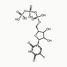 O=c1[nH]c(=O)n([C@H]2O[C@@H](COP(=O)(O)OP(=O)(O)OP(=O)(O)O)C(O)C2O)cc1I